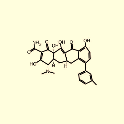 Cc1cccc(-c2ccc(O)c3c2C[C@H]2C[C@H]4[C@H](N(C)C)C(O)=C(C(N)=O)C(=O)[C@@]4(O)C(O)=C2C3=O)c1